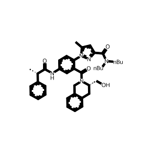 CCCCN(CCCC)C(=O)c1cc(C)n(-c2ccc(NC(=O)[C@@H](C)c3ccccc3)cc2C(=O)N2Cc3ccccc3C[C@H]2CO)n1